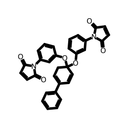 O=C1C=CC(=O)N1c1cccc(OC2(Oc3cccc(N4C(=O)C=CC4=O)c3)C=CC(c3ccccc3)=CC2)c1